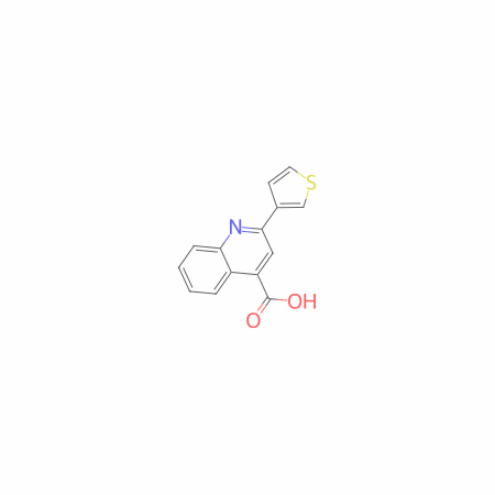 O=C(O)c1cc(-c2ccsc2)nc2ccccc12